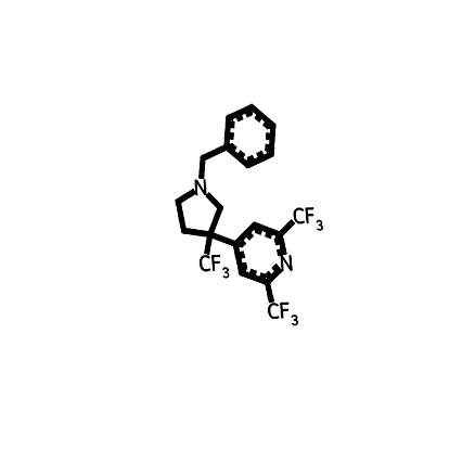 FC(F)(F)c1cc(C2(C(F)(F)F)CCN(Cc3ccccc3)C2)cc(C(F)(F)F)n1